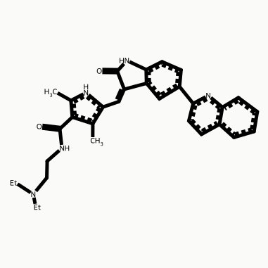 CCN(CC)CCNC(=O)c1c(C)[nH]c(/C=C2\C(=O)Nc3ccc(-c4ccc5ccccc5n4)cc32)c1C